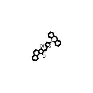 O=C1/C(=C/c2ccc(N3c4ccccc4Cc4ccccc43)s2)C(O)c2ccc3ccccc3c21